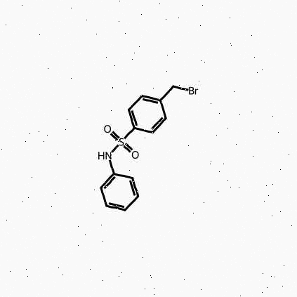 O=S(=O)(Nc1ccccc1)c1ccc(CBr)cc1